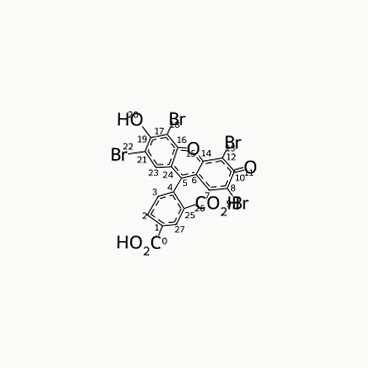 O=C(O)c1ccc(-c2c3cc(Br)c(=O)c(Br)c-3oc3c(Br)c(O)c(Br)cc23)c(C(=O)O)c1